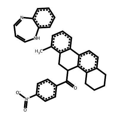 C1=CNc2ccccc2N=C1.Cc1cccc2c1CC(C(=O)c1ccc([N+](=O)[O-])cc1)c1c-2ccc2c1CCCC2